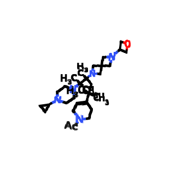 CC(=O)N1CC=C(C(C)(C)CC(C)(N2CC3(CN(C4COC4)C3)C2)C(C)(C)N2CCN(C3CC3)CC2)CC1